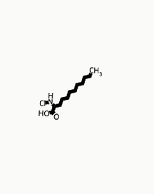 CCCCCCCCCCC(NCl)C(=O)O